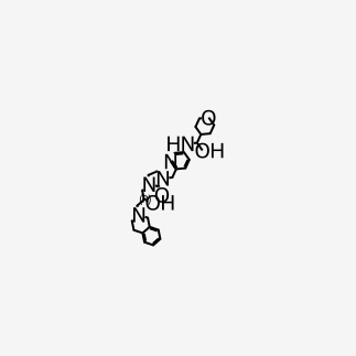 O=C1N(Cc2ccc(NC(O)C3CCOCC3)cn2)CCN1C[C@H](O)CN1CCc2ccccc2C1